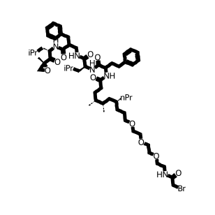 CCC[C@H](CCCOCCOCCOCCNC(=O)CBr)C[C@H](C)[C@H](C)CCC(=O)NC(CCc1ccccc1)C(=O)N[C@@H](CC(C)C)C(=O)NCC(Cc1ccccc1)C(=O)N[C@@H](CC(C)C)C(=O)[C@@]1(C)CO1